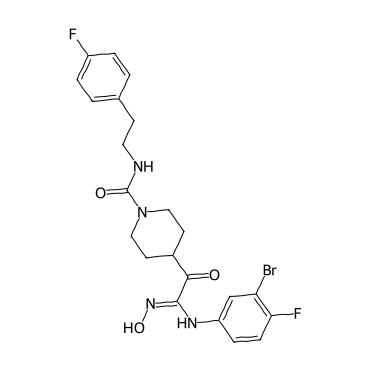 O=C(/C(=N/O)Nc1ccc(F)c(Br)c1)C1CCN(C(=O)NCCc2ccc(F)cc2)CC1